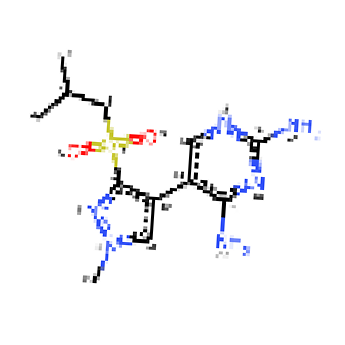 CC(C)CS(=O)(=O)c1nn(C)cc1-c1cnc(N)nc1N